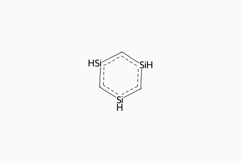 c1[siH]c[siH]c[siH]1